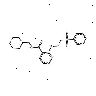 O=C(NCC1CCCCC1)c1cccnc1SCCS(=O)(=O)c1ccccc1